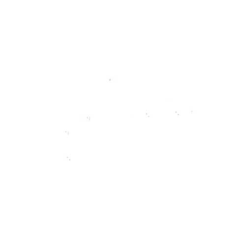 CCCOc1cc(N2CCN(C(C)=O)CC2)ccc1Nc1nc(Cl)ncc1Cl